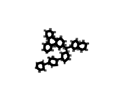 c1ccc(-c2ccc(-c3cccc(N(c4ccc5ccccc5c4)c4ccc5c6ccccc6c6ccccc6c5c4)c3)cc2)cc1